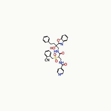 N#Cc1ccccc1CS(=O)(=O)C(CNC(=O)c1ccncc1)C(=O)NCC(O)(CCc1ccccc1)c1nc2ccccc2o1